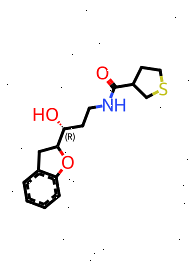 O=C(NCC[C@@H](O)C1Cc2ccccc2O1)C1CCSC1